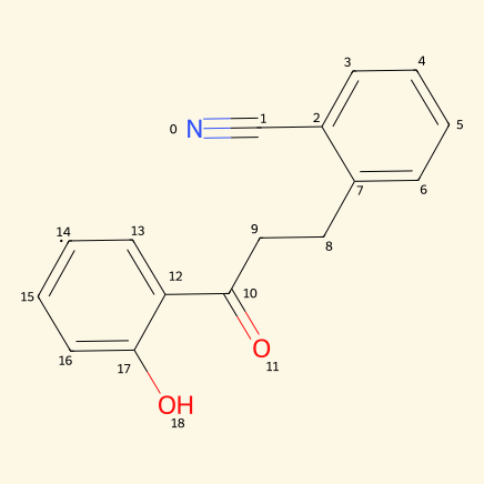 N#Cc1ccccc1CCC(=O)c1c[c]ccc1O